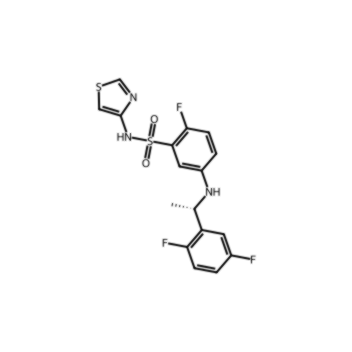 C[C@H](Nc1ccc(F)c(S(=O)(=O)Nc2cscn2)c1)c1cc(F)ccc1F